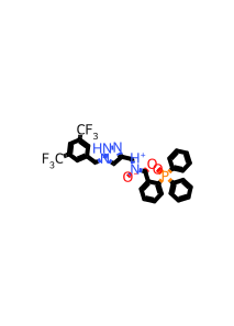 O=C(c1ccccc1P(=O)(c1ccccc1)c1ccccc1)[NH+]([O-])CC1=NNN(Cc2cc(C(F)(F)F)cc(C(F)(F)F)c2)C1